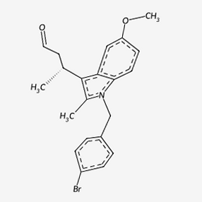 COc1ccc2c(c1)c([C@H](C)CC=O)c(C)n2Cc1ccc(Br)cc1